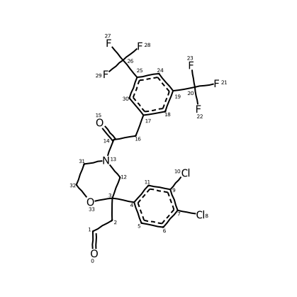 O=CCC1(c2ccc(Cl)c(Cl)c2)CN(C(=O)Cc2cc(C(F)(F)F)cc(C(F)(F)F)c2)CCO1